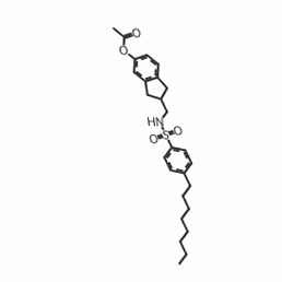 CCCCCCCCc1ccc(S(=O)(=O)NCC2Cc3ccc(OC(C)=O)cc3C2)cc1